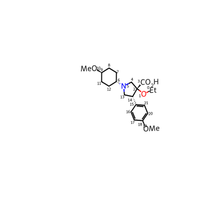 CCO[C@@]1(C(=O)O)CN([C@H]2CC[C@H](OC)CC2)C[C@H]1c1ccc(OC)cc1